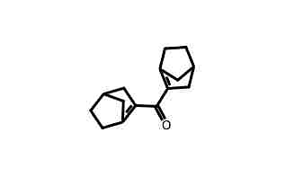 O=C(C1=C2CCC(C2)C1)C1=C2CCC(C2)C1